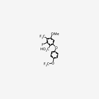 COc1cc(Oc2ccc(OC(F)(F)F)cc2)c(C(=O)O)c(F)c1C(F)(F)F